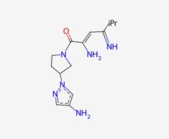 CC(C)C(=N)/C=C(\N)C(=O)N1CCC(n2cc(N)cn2)C1